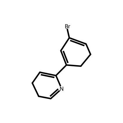 BrC1=CCCC(C2=CCCC=N2)=C1